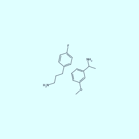 COc1cccc(C(C)N)c1.NCCCc1ccc(F)cc1